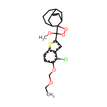 CCOCOc1ccc2sc(C3(OC)OOC34C3C=C5CC4CCCC5C3)cc2c1Cl